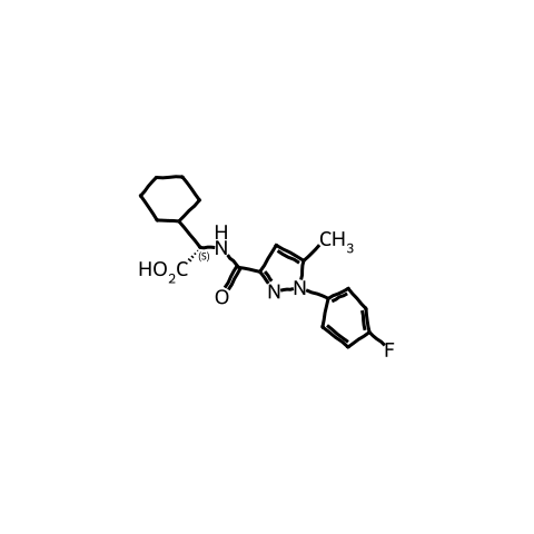 Cc1cc(C(=O)N[C@H](C(=O)O)C2CCCCC2)nn1-c1ccc(F)cc1